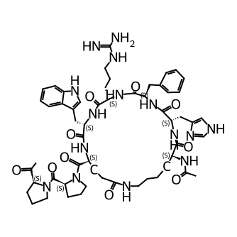 CC(=O)N[C@H]1CCCCNC(=O)CC[C@@H](C(=O)N2CCC[C@H]2C(=O)N2CCC[C@H]2C(C)=O)NC(=O)[C@H](Cc2c[nH]c3ccccc23)NC(=O)[C@H](CCCNC(=N)N)NC(=O)[C@@H](Cc2ccccc2)NC(=O)[C@H](Cc2c[nH]cn2)NC1=O